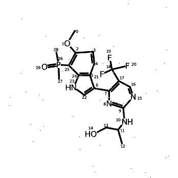 COc1ccc2c(-c3nc(NC(C)CO)ncc3C(F)(F)F)c[nH]c2c1P(C)(C)=O